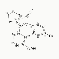 CSc1nccc(-c2c(-c3ccc(F)cc3)c(=O)n3n2CCC3)n1